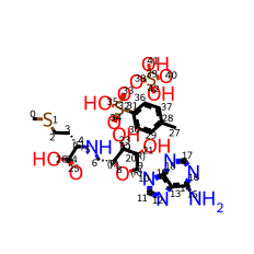 CSCC[C@H](NC[C@H]1O[C@@H](n2cnc3c(N)ncnc32)[C@H](O)[C@@H]1O)C(=O)O.Cc1ccc(S(=O)(=O)O)cc1.O=S(=O)(O)O